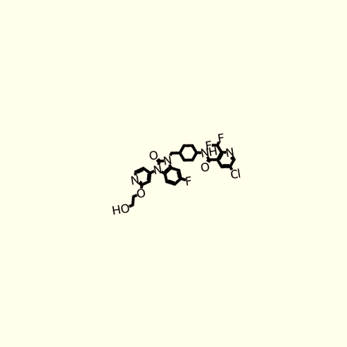 O=C(NC1CCC(Cn2c(=O)n(-c3ccnc(OCCO)c3)c3ccc(F)cc32)CC1)c1cc(Cl)cnc1C(F)F